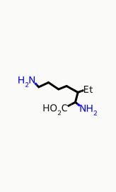 CCC(CCCCN)C(N)C(=O)O